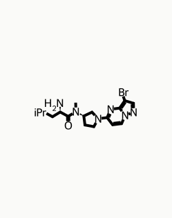 CC(C)C[C@H](N)C(=O)N(C)[C@H]1CCN(c2ccn3ncc(Br)c3n2)C1